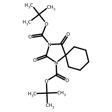 CC(C)(C)OC(=O)N1C(=O)N(C(=O)OC(C)(C)C)C2(CCCCC2)C1=O